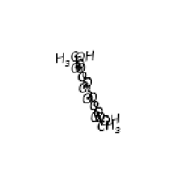 CC(O)COC(=O)OCCOCCOC(=O)CCCC(=O)OCCOCCOC(=O)OCC(C)O